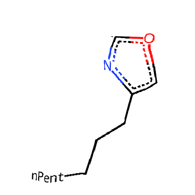 CCCCCCCCc1co[c]n1